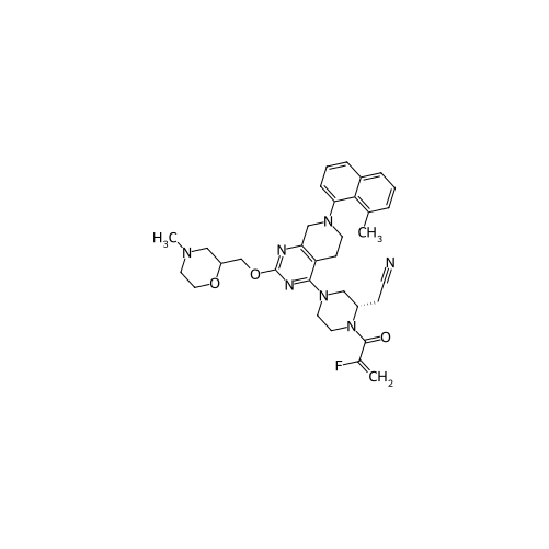 C=C(F)C(=O)N1CCN(c2nc(OCC3CN(C)CCO3)nc3c2CCN(c2cccc4cccc(C)c24)C3)C[C@@H]1CC#N